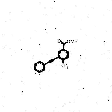 COC(=O)c1ccc(C(F)(F)F)c(C#Cc2ccccc2)c1